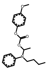 CCCCN(c1ccccc1)C(C)OC(=O)Oc1ccc(OC)cc1